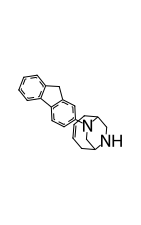 C1=CCC2CNC(C1)CN2c1ccc2c(c1)Cc1ccccc1-2